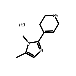 Cc1cnc(C2=CCNCC2)n1C.Cl